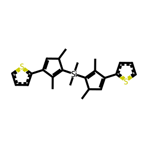 CC1=C([Si](C)(C)C2=C(C)C(c3cccs3)=CC2C)C(C)C=C1c1cccs1